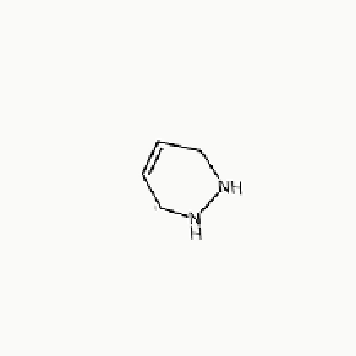 [C]1C=CCNN1